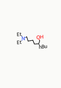 CCCC[C@H](CO)CCCCN(CC)CC